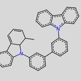 CC1C=CC=C2c3ccccc3N(c3cccc(-c4cccc(-n5c6ccccc6c6ccccc65)c4)c3)C21